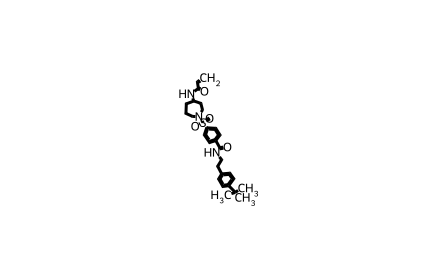 C=CC(=O)NC1CCCN(S(=O)(=O)c2ccc(C(=O)NCCc3ccc(C(C)(C)C)cc3)cc2)CC1